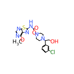 COc1ncnc2sc(NC(=O)ON3CCN(C(CO)c4cccc(Cl)c4)CC3)nc12